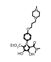 CCOC(=O)c1c(O)c(O)c(C(=O)N(C)C)n1-c1ccc(OCCCN2CCN(C)CC2)cc1